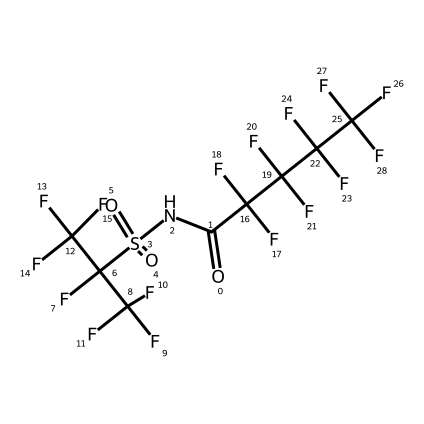 O=C(NS(=O)(=O)C(F)(C(F)(F)F)C(F)(F)F)C(F)(F)C(F)(F)C(F)(F)C(F)(F)F